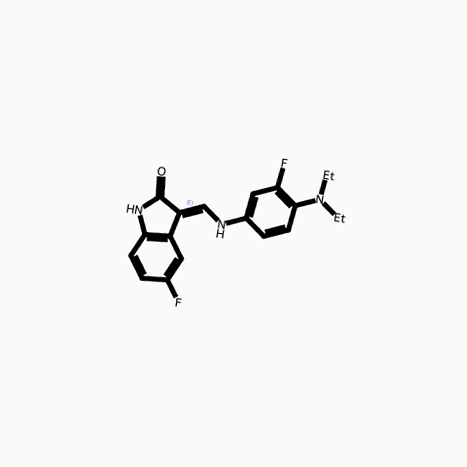 CCN(CC)c1ccc(N/C=C2/C(=O)Nc3ccc(F)cc32)cc1F